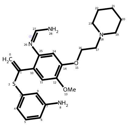 C=C(Sc1cccc(N)c1)c1cc(OC)c(OCCN2CCCCC2)cc1/N=C\N